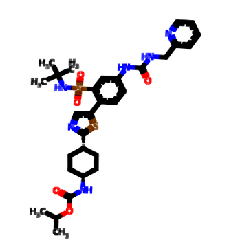 CC(C)OC(=O)N[C@H]1CC[C@H](c2ncc(-c3ccc(NC(=O)NCc4ccccn4)cc3S(=O)(=O)NC(C)(C)C)s2)CC1